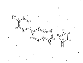 Fc1ccc(-c2ccc3oc(C4=NCCN4)cc3c2)cc1